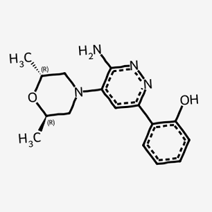 C[C@@H]1CN(c2cc(-c3ccccc3O)nnc2N)C[C@@H](C)O1